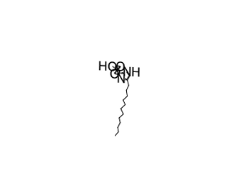 CCCCCCCCCCCCc1c[nH]c(S(=O)(=O)O)n1